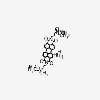 CC[N+](C)(CC)CCCN1C(=O)c2ccc3c4ccc5c6c(ccc(c7ccc(c2c37)C1=O)c64)C(=O)N(CCC[N+](C)(CC)CC)C5=O.I.I.[I-].[I-]